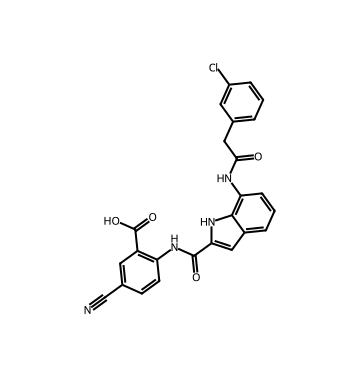 N#Cc1ccc(NC(=O)c2cc3cccc(NC(=O)Cc4cccc(Cl)c4)c3[nH]2)c(C(=O)O)c1